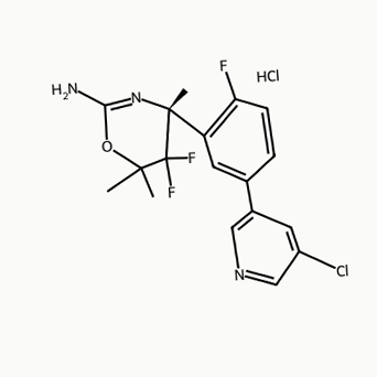 CC1(C)OC(N)=N[C@](C)(c2cc(-c3cncc(Cl)c3)ccc2F)C1(F)F.Cl